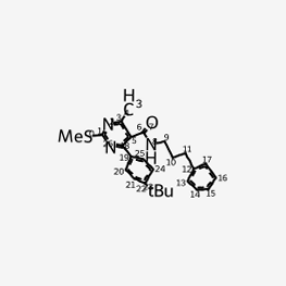 CSc1nc(C)c(C(=O)NCCCc2ccccc2)c(-c2ccc(C(C)(C)C)cc2)n1